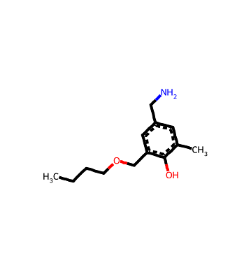 CCCCOCc1cc(CN)cc(C)c1O